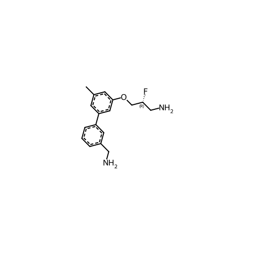 Cc1cc(OC[C@H](F)CN)cc(-c2cccc(CN)c2)c1